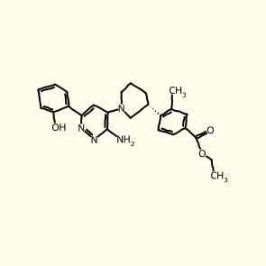 CCOC(=O)c1ccc([C@H]2CCCN(c3cc(-c4ccccc4O)nnc3N)C2)c(C)c1